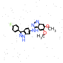 COc1cc2ncnc(Nc3ccc4c(-c5ccc(F)cc5)n[nH]c4c3)c2cc1OC